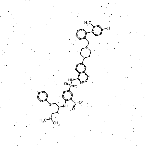 Cc1cc(Cl)ccc1-c1ccccc1CN1CCN(c2ccc3c(NS(=O)(=O)c4ccc(NC(CCN(C)C)CSc5ccccc5)c([N+](=O)[O-])c4)ncnc3c2)CC1